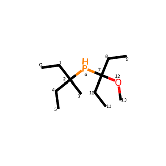 CCC(C)(CC)PC(CC)(CC)OC